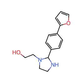 OCCN1CCNC1c1ccc(-c2ccco2)cc1